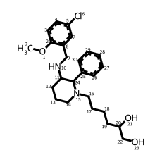 COc1ccc(Cl)cc1CNC1CCCN(CCCCC(O)CO)C1c1ccccc1